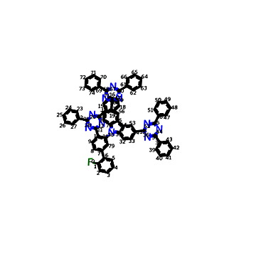 Fc1ccccc1-c1ccc(-c2nc(-c3ccccc3)nc(-c3ccccc3)n2)c(-n2c3ccc(-c4nc(-c5ccccc5)nc(-c5ccccc5)n4)cc3c3cc(-c4nc(-c5ccccc5)nc(-c5ccccc5)n4)ccc32)c1